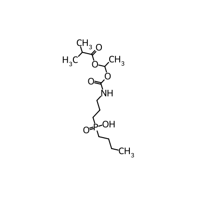 CCCCP(=O)(O)CCCNC(=O)OC(C)OC(=O)C(C)C